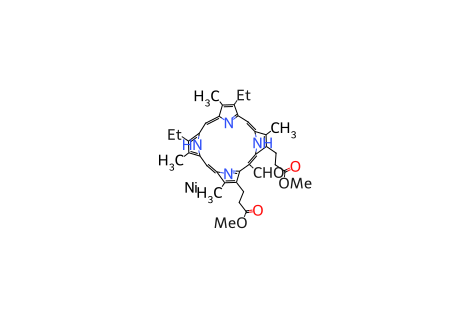 CCC1=C(C)c2cc3[nH]c(cc4nc(c(C=O)c5[nH]c(cc1n2)c(C)c5CCC(=O)OC)C(CCC(=O)OC)=C4C)c(C)c3CC.[Ni]